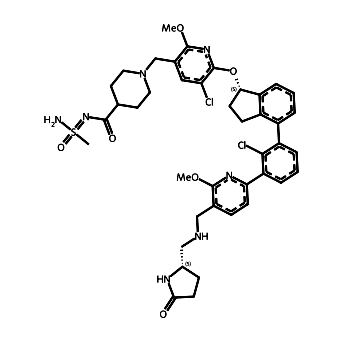 COc1nc(-c2cccc(-c3cccc4c3CC[C@@H]4Oc3nc(OC)c(CN4CCC(C(=O)N=S(C)(N)=O)CC4)cc3Cl)c2Cl)ccc1CNC[C@@H]1CCC(=O)N1